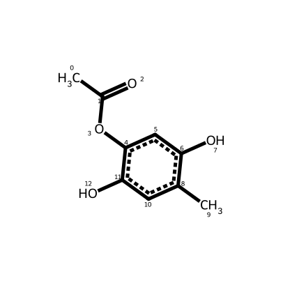 CC(=O)Oc1cc(O)c(C)cc1O